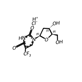 O=c1[nH]c(=O)n([C@H]2C[C@H](O)[C@@H](CO)O2)cc1C(F)(F)F.[Cl-].[H+]